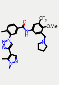 COc1c(CN2CCCC2)cc(NC(=O)c2ccc(C)c(-n3cc(-c4cnn(C)c4C)nn3)c2)cc1C(F)(F)F